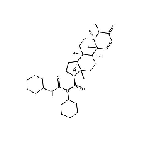 CN1C(=O)C=C[C@]2(C)[C@H]3CC[C@]4(C)[C@@H](C(=O)N(C(=O)NC5CCCCC5)C5CCCCC5)CC[C@H]4[C@@H]3CC[C@@H]12